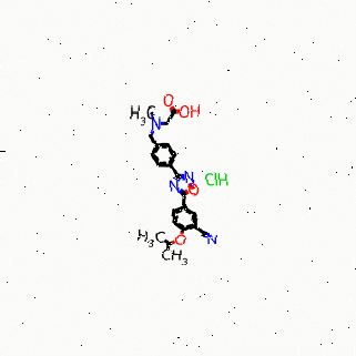 CC(C)Oc1ccc(-c2nc(-c3ccc(CN(C)CC(=O)O)cc3)no2)cc1C#N.Cl